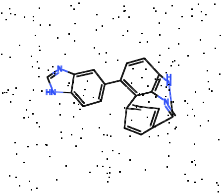 c1nc2cc(-c3ccc4[nH]c5nc4c3-c3ccc-5cc3)ccc2[nH]1